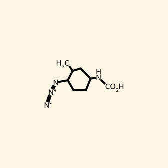 CC1CC(NC(=O)O)CCC1N=[N+]=[N-]